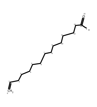 C=CCCCCCCCCCCCCC(=O)I